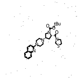 CC(C)(C)OC(=O)N1C[C@@H](N2CCN(c3ccc4ccccc4n3)CC2)C[C@H]1C(=O)N1CCSC1